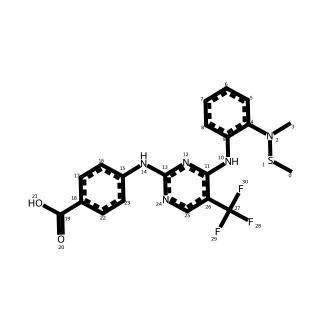 CSN(C)c1ccccc1Nc1nc(Nc2ccc(C(=O)O)cc2)ncc1C(F)(F)F